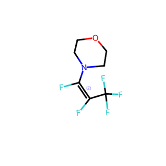 F/C(=C(\F)C(F)(F)F)N1CCOCC1